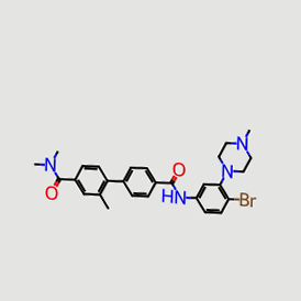 Cc1cc(C(=O)N(C)C)ccc1-c1ccc(C(=O)Nc2ccc(Br)c(N3CCN(C)CC3)c2)cc1